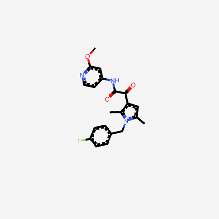 COc1cc(NC(=O)C(=O)c2cc(C)n(Cc3ccc(F)cc3)c2C)ccn1